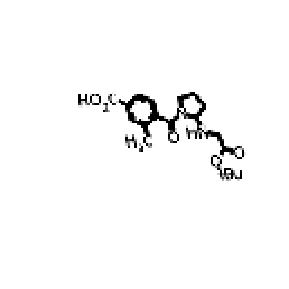 Cc1cc(C(=O)O)ccc1C(=O)N1CCCC1NCC(=O)OC(C)(C)C